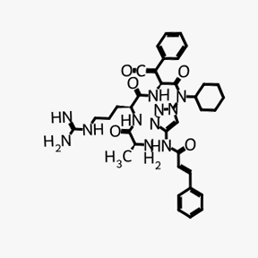 C[C@H](N)C(=O)N[C@@H](CCCNC(=N)N)C(=O)N[C@H](C(=O)N(C1CCCCC1)n1cc(NC(=O)C=Cc2ccccc2)nn1)C(=C=O)c1ccccc1